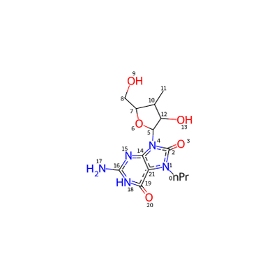 CCCn1c(=O)n(C2OC(CO)C(C)C2O)c2nc(N)[nH]c(=O)c21